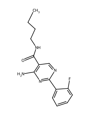 CCCCNC(=O)c1cnc(-c2ccccc2F)nc1N